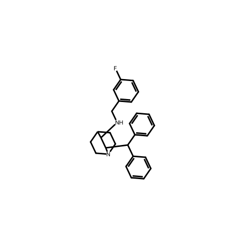 Fc1cccc(CNC2C3CCN(CC3)C2C(c2ccccc2)c2ccccc2)c1